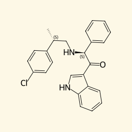 C[C@H](CN[C@H](C(=O)c1c[nH]c2ccccc12)c1ccccc1)c1ccc(Cl)cc1